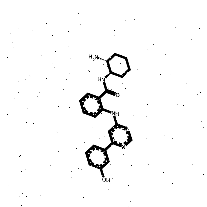 N[C@@H]1CCCC[C@H]1NC(=O)c1ccccc1Nc1cc(-c2cccc(O)c2)ncn1